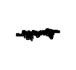 CC[C@H]1CC[C@@H](c2ncc(-c3ccc4c(c3)COc3cc5c(ccc6nc([C@@H]7C[C@H](C)CN7C(=O)[C@@H](NC(=O)OC)C(C)C)[nH]c65)cc3-4)[nH]2)N1C(=O)[C@@H](NC(=O)OC)C1CCOCC1